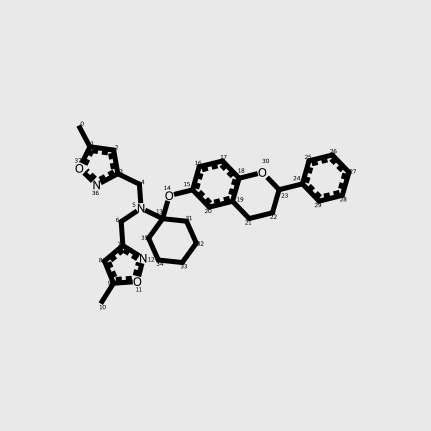 Cc1cc(CN(Cc2cc(C)on2)C2(Oc3ccc4c(c3)CCC(c3ccccc3)O4)CCCCC2)no1